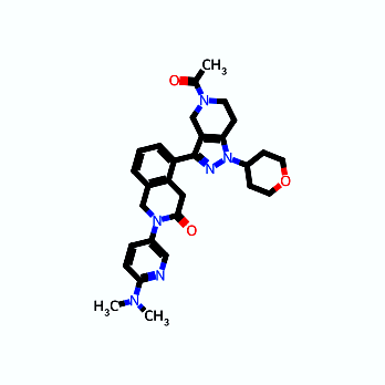 CC(=O)N1CCc2c(c(-c3cccc4c3CC(=O)N(c3ccc(N(C)C)nc3)C4)nn2C2CCOCC2)C1